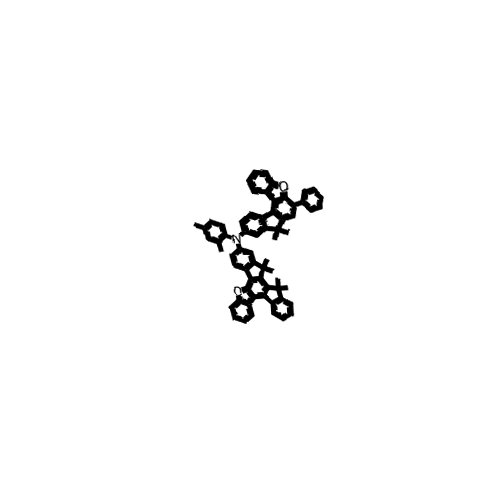 Cc1ccc(N(c2ccc3c(c2)C(C)(C)c2cc(-c4ccccc4)c4oc5ccccc5c4c2-3)c2ccc3c(c2)C(C)(C)c2c4c(c5c(oc6ccccc65)c2-3)-c2ccccc2C4(C)C)c(C)c1